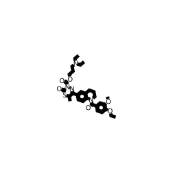 CCOc1ccc(C(=O)N2CCCc3cc(C4=NN(C(=O)OCCCN(CC)CC)C(=O)SC4C)ccc32)cc1OC